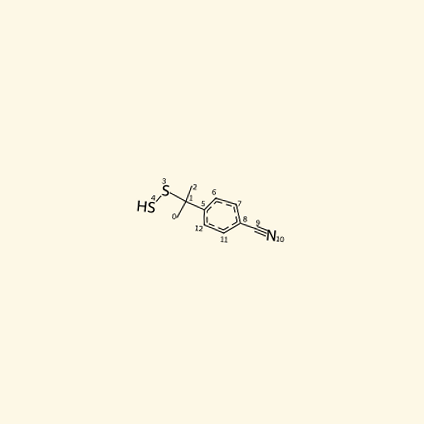 CC(C)(SS)c1ccc(C#N)cc1